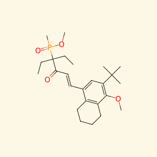 CCC(CC)(C(=O)C=Cc1cc(C(C)(C)C)c(OC)c2c1CCCC2)P(C)(=O)OC